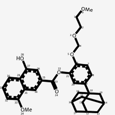 COCCOCOc1ccc(C23CC4CC(CC(C4)C2)C3)cc1OC(=O)c1cc(O)c2cccc(OC)c2c1